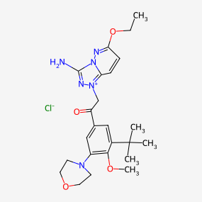 CCOc1ccc2n(n1)c(N)n[n+]2CC(=O)c1cc(N2CCOCC2)c(OC)c(C(C)(C)C)c1.[Cl-]